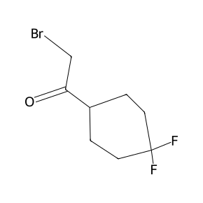 O=C(CBr)C1CCC(F)(F)CC1